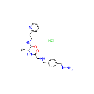 CC(C)C(NC(=O)CNCc1ccc(C=NN)cc1)C(=O)NCCc1ccccn1.Cl